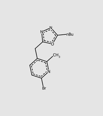 CCCCc1nnc(Cc2ccc(Br)nc2C)o1